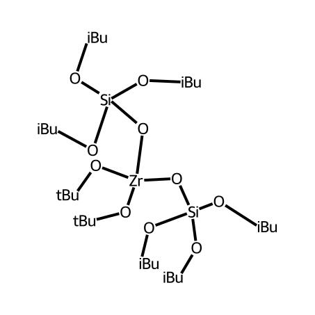 CCC(C)O[Si](OC(C)CC)(OC(C)CC)[O][Zr]([O]C(C)(C)C)([O]C(C)(C)C)[O][Si](OC(C)CC)(OC(C)CC)OC(C)CC